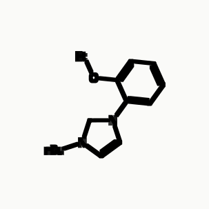 CCCCN1C=CN(c2ccccc2OCC)C1